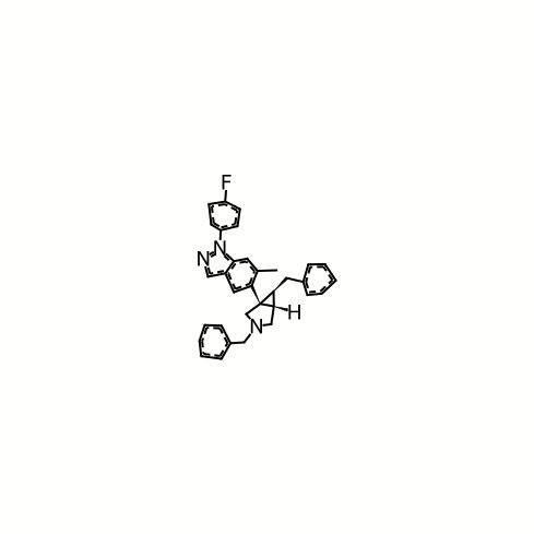 Cc1cc2c(cnn2-c2ccc(F)cc2)cc1[C@]12CN(Cc3ccccc3)C[C@H]1[C@@H]2Cc1ccccc1